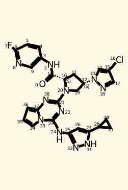 O=C(Nc1ccc(F)nc1)[C@@H]1C[C@H](n2cc(Cl)cn2)CN1c1nc(Nc2cc(C3CC3)[nH]n2)n2cccc2n1